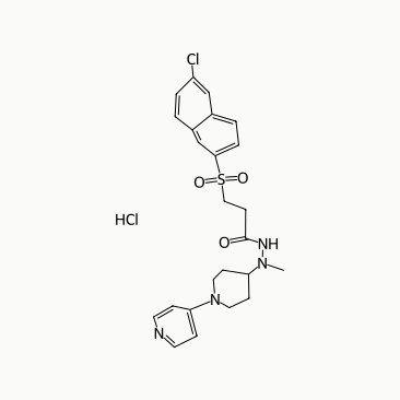 CN(NC(=O)CCS(=O)(=O)c1ccc2cc(Cl)ccc2c1)C1CCN(c2ccncc2)CC1.Cl